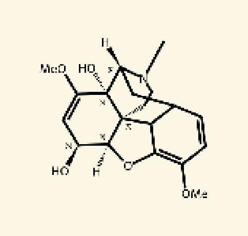 COC1=C[C@H](O)[C@@H]2OC3=C(OC)C=CC4C[C@H]5N(C)CC[C@@]2(C34)[C@@]15O